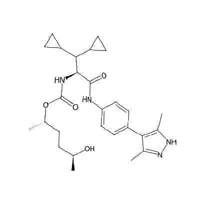 Cc1n[nH]c(C)c1-c1ccc(NC(=O)[C@@H](NC(=O)O[C@@H](C)CC[C@H](C)O)C(C2CC2)C2CC2)cc1